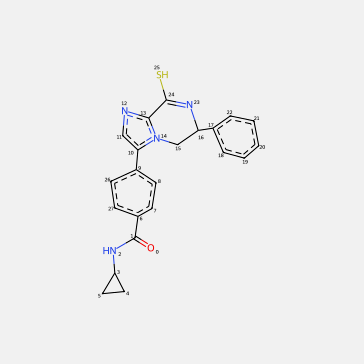 O=C(NC1CC1)c1ccc(-c2cnc3n2CC(c2ccccc2)N=C3S)cc1